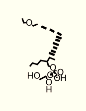 C=C.C=C.C=C.C=C.C=C.C=C.C=C.C=C.C=C.CCCCC(CC)COS(=O)(=O)O.CCOCC.OCCO